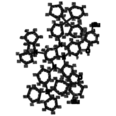 CC(C)(C)c1ccc2oc3cc4c(cc3c2c1)N(c1cccc(C(c2ccccc2)(c2ccccc2)c2ccccc2)c1)c1cc(-n2c3ccccc3c3ccccc32)cc2c1B4c1cc3oc4ccc(C(C)(C)C)cc4c3cc1N2c1cccc([Si](c2ccccc2)(c2ccccc2)c2ccccc2)c1